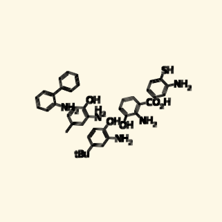 CC(C)(C)c1ccc(O)c(N)c1.Cc1ccc(O)c(N)c1.Nc1c(O)cccc1C(=O)O.Nc1ccccc1-c1ccccc1.Nc1ccccc1S